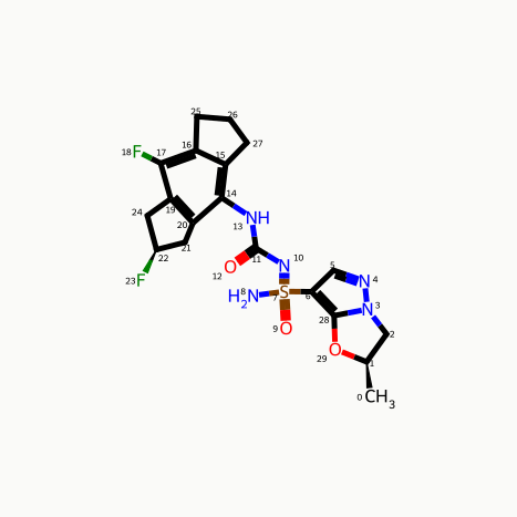 C[C@@H]1Cn2ncc(S(N)(=O)=NC(=O)Nc3c4c(c(F)c5c3C[C@@H](F)C5)CCC4)c2O1